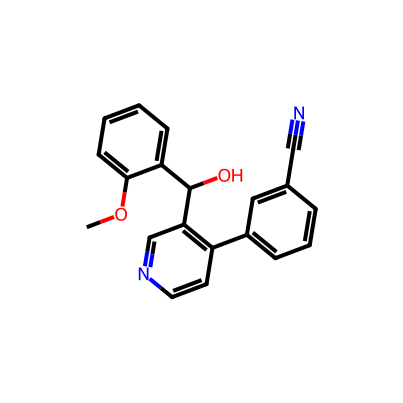 COc1ccccc1C(O)c1cnccc1-c1cccc(C#N)c1